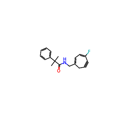 CC(C)(C(=O)NCC1=CC=C(F)C#CC1)c1ccccc1